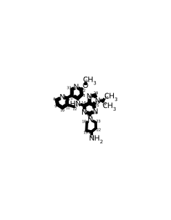 COc1ccc(-c2ncccc2CNc2nc(N3CCC(N)CC3)nc3c2ncn3C(C)C)cn1